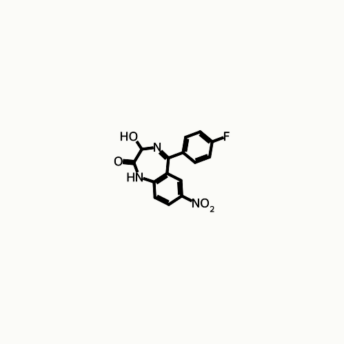 O=C1Nc2ccc([N+](=O)[O-])cc2C(c2ccc(F)cc2)=NC1O